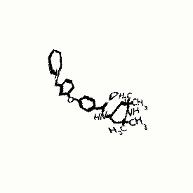 CC1(C)CC(NC(=O)c2ccc(Oc3cccc(CN4CCCCC4)c3)cc2)CC(C)(C)N1